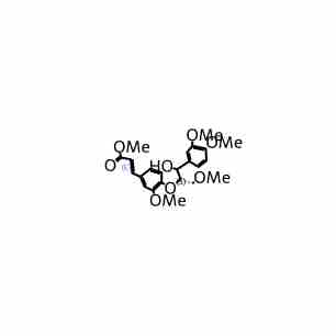 COC[C@H](Oc1ccc(/C=C/C(=O)OC)cc1OC)C(O)c1ccc(OC)c(OC)c1